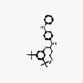 CSCCC(Nc1ccc(Nc2ccccc2)cc1)Sc1cc(C(C)(C)C)cc(C(C)(C)C)c1